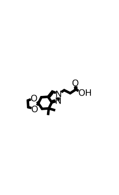 CC1(C)CC2(Cc3cn(CCC(=O)O)nc31)OCCO2